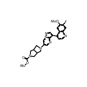 COc1cc2c(-c3cnn4cc(N5CC6CN(C(=O)OC(C)(C)C)CC6C5)cnc34)ccnc2cc1F